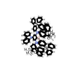 CC(C)(C)c1ccc(N2c3cc([Si](c4ccccc4)(c4ccccc4)c4ccccc4)ccc3B3c4cc(C(C)(C)C)c(-c5ccccc5)cc4N(c4cccc([Si](c5ccccc5)(c5ccccc5)c5ccccc5)c4)c4cc(-n5c6ccccc6c6ccccc65)cc2c43)cc1-c1ccccc1